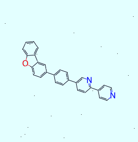 c1ccc2c(c1)oc1ccc(-c3ccc(-c4ccc(-c5ccncc5)nc4)cc3)cc12